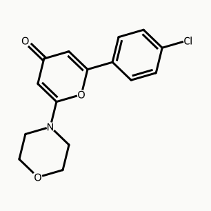 O=c1cc(-c2ccc(Cl)cc2)oc(N2CCOCC2)c1